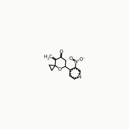 C=C1C(=O)CC(c2ccncc2[N+](=O)[O-])OC12CC2